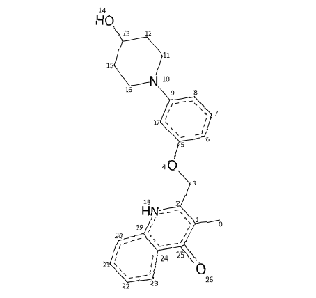 Cc1c(COc2cccc(N3CCC(O)CC3)c2)[nH]c2ccccc2c1=O